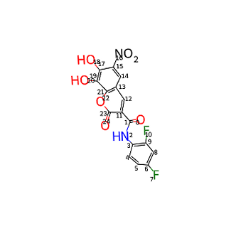 O=C(Nc1ccc(F)cc1F)c1cc2cc([N+](=O)[O-])c(O)c(O)c2oc1=O